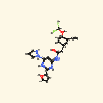 COc1cc(CC(=O)Nc2cc(-n3cccn3)nc(-c3ccco3)n2)ccc1OC(F)F